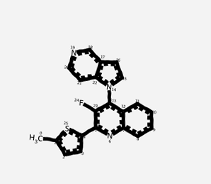 Cc1ccc(-c2nc3ccccc3c(-n3ccc4cnccc43)c2F)s1